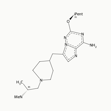 CCC[C@H](C)Oc1nc(N)c2ncc(CC3CCN(C[C@@H](C)NC)CC3)n2n1